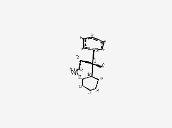 CC(CC#N)(c1ccccc1)C1CCCCC1